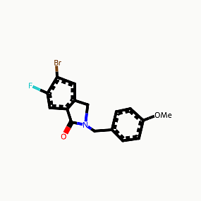 COc1ccc(CN2Cc3cc(Br)c(F)cc3C2=O)cc1